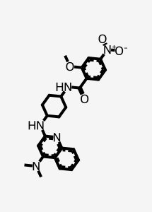 COc1cc([N+](=O)[O-])ccc1C(=O)NC1CCC(Nc2cc(N(C)C)c3ccccc3n2)CC1